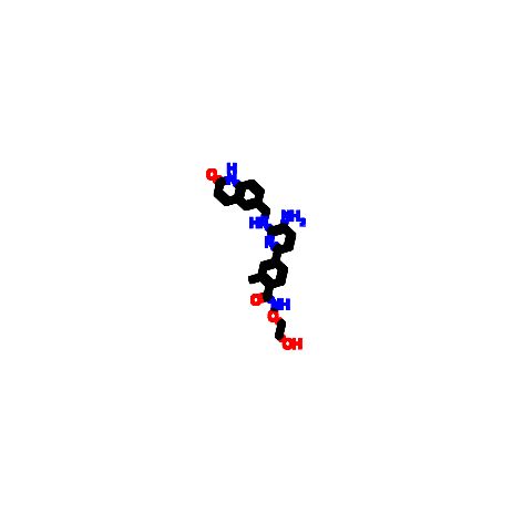 Cc1cc(-c2ccc(N)c(NCc3ccc4[nH]c(=O)ccc4c3)n2)ccc1C(=O)NOCCO